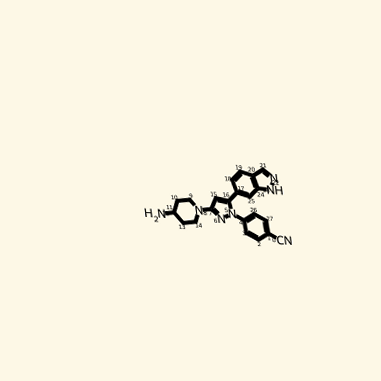 N#Cc1ccc(-n2nc(N3CCC(N)CC3)cc2-c2ccc3cn[nH]c3c2)cc1